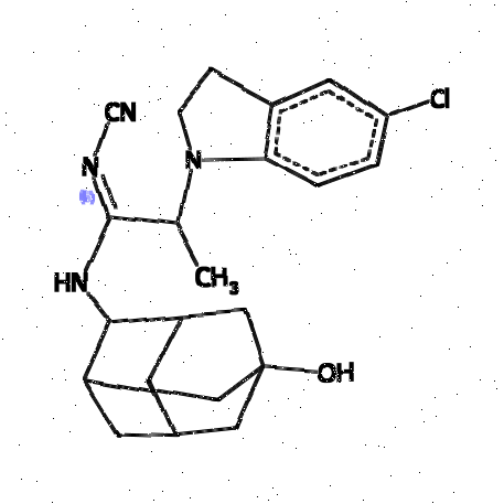 CC(/C(=N\C#N)NC1C2CC3CC1CC(O)(C3)C2)N1CCc2cc(Cl)ccc21